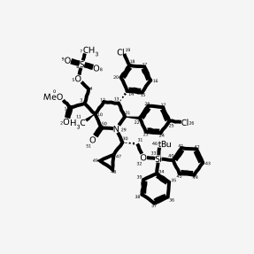 COC(=O)C(COS(C)(=O)=O)[C@]1(C)C[C@H](c2cccc(Cl)c2)[C@@H](c2ccc(Cl)cc2)N([C@H](CO[Si](c2ccccc2)(c2ccccc2)C(C)(C)C)C2CC2)C1=O